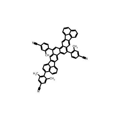 Cc1cc(C#N)ccc1-c1cc2c3cc4c(cc3c(-c3ccc(C#N)cc3C)cc2c2cc3c(cc12)-c1cccc2cccc-3c12)-c1ccc(-c2c(C)cc(C#N)cc2C)c2cccc-4c12